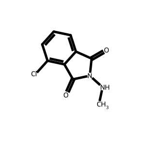 CNN1C(=O)c2cccc(Cl)c2C1=O